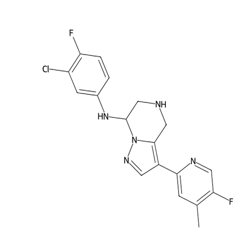 Cc1cc(-c2cnn3c2CNCC3Nc2ccc(F)c(Cl)c2)ncc1F